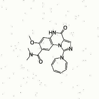 COc1cc2[nH]c(=O)c3cnc(N4C=CC=CC=C4)n3c2cc1C(=O)N(C)C